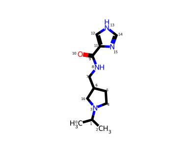 CC(C)N1CCC(CNC(=O)c2c[nH]cn2)C1